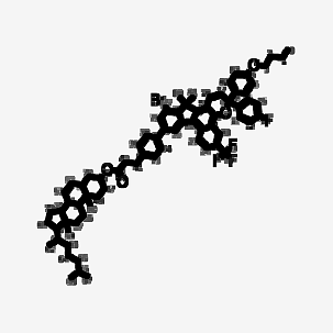 CCCCOc1ccc(C2(c3ccc(F)cc3)C=Cc3c4c(c5ccc(C(F)(F)F)cc5c3O2)-c2cc(-c3ccc(CCC(=O)OC5CCC6(C)C(C=CC7C6CCC6(C)C(C(C)CCCC(C)C)CCC76)C5)cc3)cc(Br)c2C4(C)C)cc1